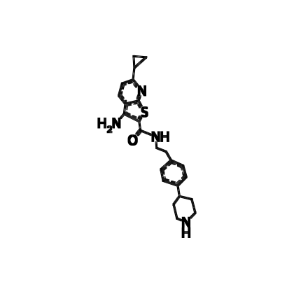 Nc1c(C(=O)NCCc2ccc(C3CCNCC3)cc2)sc2nc(C3CC3)ccc12